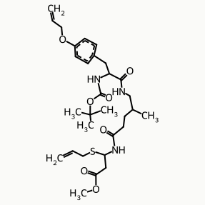 C=CCOc1ccc(CC(NC(=O)OC(C)(C)C)C(=O)NCC(C)CCC(=O)NC(CC(=O)OC)SCC=C)cc1